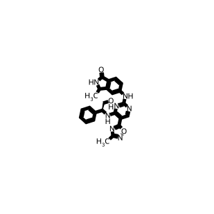 Cc1noc(-c2cnc(Nc3ccc4c(c3)C(C)NC4=O)nc2N[C@H](CO)c2ccccc2)n1